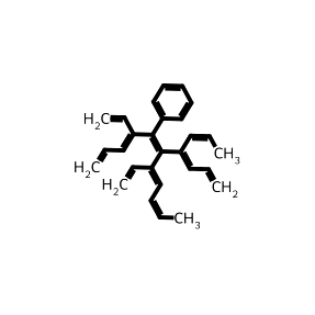 C=C/C=C(C=C)/C(=C(C(\C=C)=C\C=C/C)/C(/C=C\C)=C/C=C)c1ccccc1